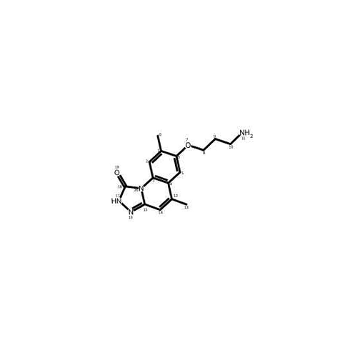 Cc1cc2c(cc1OCCCN)c(C)cc1n[nH]c(=O)n12